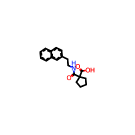 O=C(O)C1(C(=O)NCCc2ccc3ccccc3c2)CCCC1